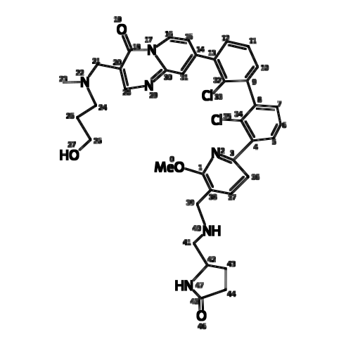 COc1nc(-c2cccc(-c3cccc(-c4ccn5c(=O)c(CN(C)CCCO)cnc5c4)c3Cl)c2Cl)ccc1CNCC1CCC(=O)N1